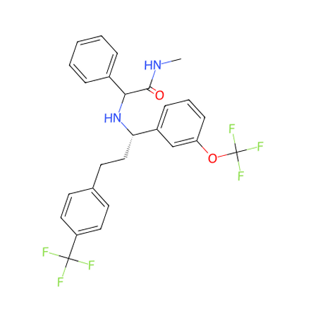 CNC(=O)C(N[C@@H](CCc1ccc(C(F)(F)F)cc1)c1cccc(OC(F)(F)F)c1)c1ccccc1